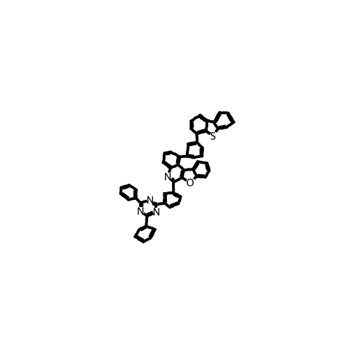 c1ccc(-c2nc(-c3ccccc3)nc(-c3cccc(-c4nc5cccc(-c6cccc(-c7cccc8c7sc7ccccc78)c6)c5c5c4oc4ccccc45)c3)n2)cc1